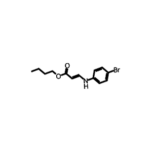 CCCCOC(=O)C=CNc1ccc(Br)cc1